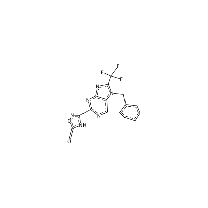 O=c1[nH]c(-c2ncc3c(n2)nc(C(F)(F)F)n3Cc2ccccc2)no1